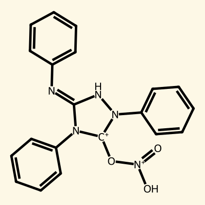 O=[N+](O)O[c+]1n(-c2ccccc2)[nH]c(=Nc2ccccc2)n1-c1ccccc1